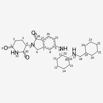 O=C1CCC(N2Cc3cc(N[C@H]4CCCC[C@H]4NCC4CCCCC4)ccc3C2=O)C(=O)N1